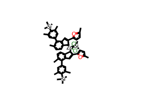 Cc1ccc(C2=Cc3c(ccc(C)c3-c3cc(C)c([Si](C)(C)C)c(C)c3)[CH]2[Zr]([Cl])([Cl])([CH]2C(c3ccc(C)o3)=Cc3c2ccc(C)c3-c2cc(C)c([Si](C)(C)C)c(C)c2)=[Si](C)C)o1